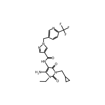 CCn1c(N)c(NC(=O)c2cnn(Cc3ccc(C(F)(F)F)nc3)c2)c(=O)n(CC2CC2)c1=O